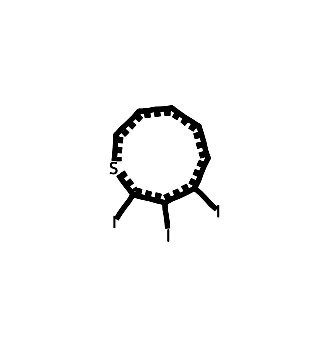 Ic1cccccsc(I)c1I